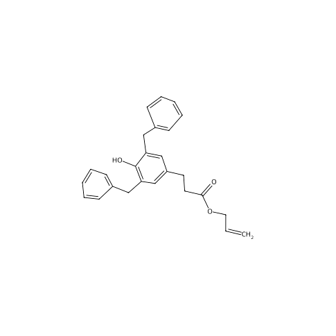 C=CCOC(=O)CCc1cc(Cc2ccccc2)c(O)c(Cc2ccccc2)c1